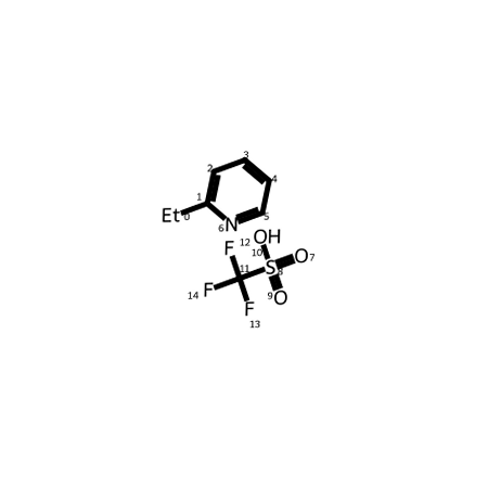 CCc1ccccn1.O=S(=O)(O)C(F)(F)F